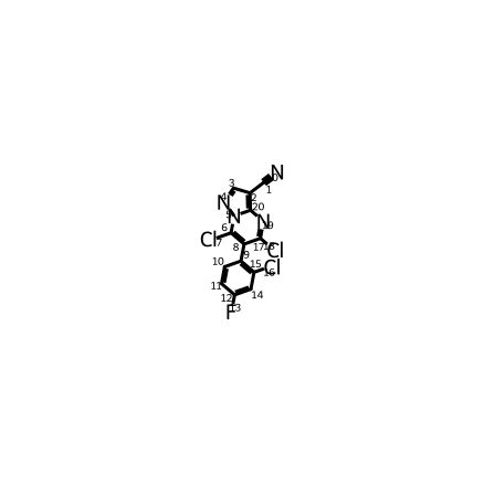 N#Cc1cnn2c(Cl)c(-c3ccc(F)cc3Cl)c(Cl)nc12